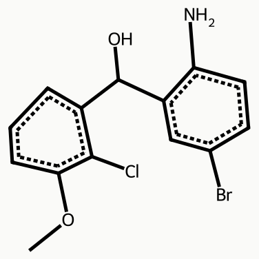 COc1cccc(C(O)c2cc(Br)ccc2N)c1Cl